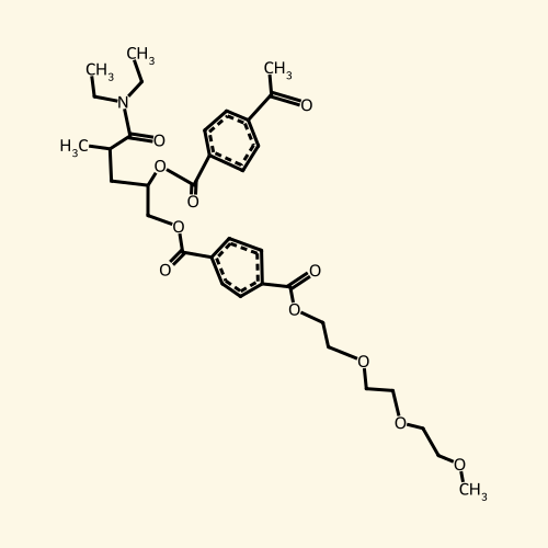 CCN(CC)C(=O)C(C)CC(COC(=O)c1ccc(C(=O)OCCOCCOCCOC)cc1)OC(=O)c1ccc(C(C)=O)cc1